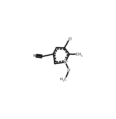 CO[n+]1cc(C#N)cc(Cl)c1C